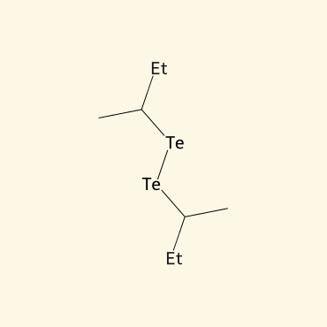 CCC(C)[Te][Te]C(C)CC